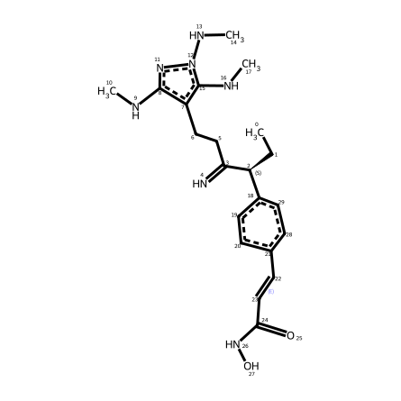 CC[C@H](C(=N)CCc1c(NC)nn(NC)c1NC)c1ccc(/C=C/C(=O)NO)cc1